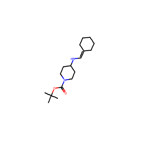 CC(C)(C)OC(=O)N1CCC(NC=C2CCCCC2)CC1